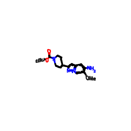 COc1cn2nc(C3CCN(C(=O)OC(C)(C)C)CC3)cc2cc1N